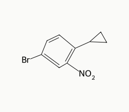 O=[N+]([O-])c1cc(Br)ccc1C1CC1